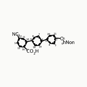 CCCCCCCCCOc1ccc(-c2ccc(-c3cc(C#N)ccc3C(=O)O)cc2)cc1